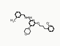 Cc1cccc(C=NNc2cc(N3CCOCC3)cc(OCCCc3cccc[n+]3[O-])n2)c1